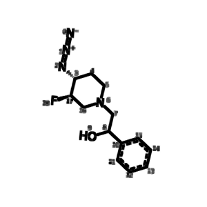 [N-]=[N+]=N[C@@H]1CCN(CC(O)c2ccccc2)C[C@H]1F